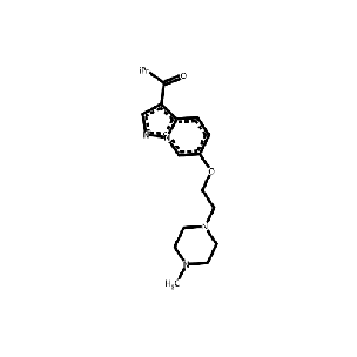 CC(C)C(=O)c1cnn2cc(OCCN3CCN(C)CC3)ccc12